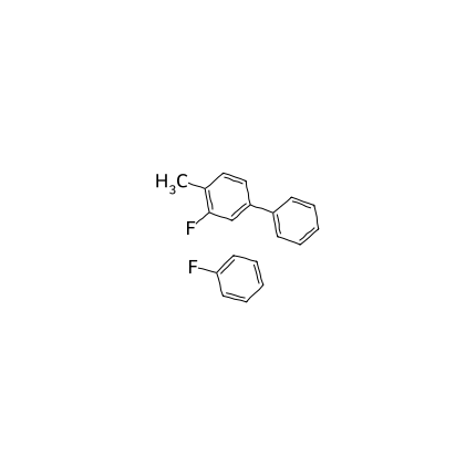 Cc1ccc(-c2ccccc2)cc1F.Fc1ccccc1